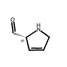 O=C[C@H]1C=CCN1